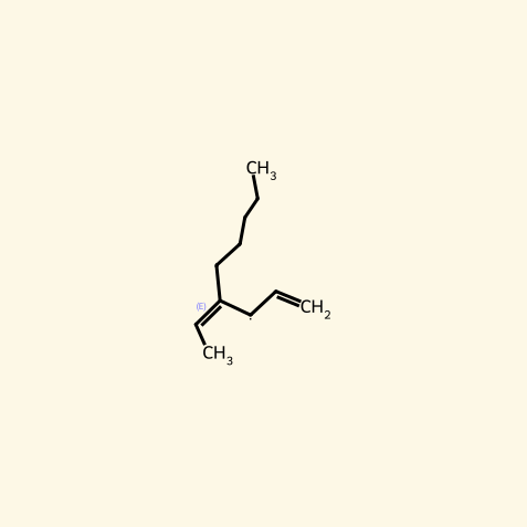 C=C[CH]/C(=C\C)CCCCC